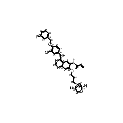 C=CC(=O)Nc1cc2c(Nc3ccc(OCc4cccc(F)c4)c(Cl)c3)ncnc2cc1OCCCN1C[C@@H]2C[C@H]1CO2